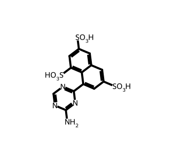 Nc1ncnc(-c2cc(S(=O)(=O)O)cc3cc(S(=O)(=O)O)cc(S(=O)(=O)O)c23)n1